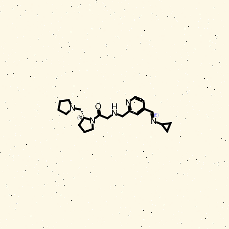 O=C(CNCc1cc(/C=N/C2CC2)ccn1)N1CCC[C@@H]1CN1CCCC1